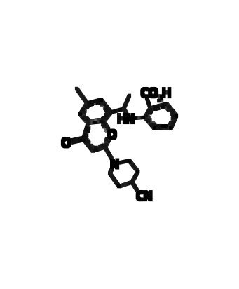 Cc1cc(C(C)Nc2ccccc2C(=O)O)c2oc(N3CCC(C#N)CC3)cc(=O)c2c1